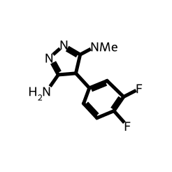 CNC1=NN=C(N)C1c1ccc(F)c(F)c1